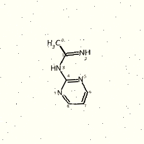 CC(=N)Nc1ncccn1